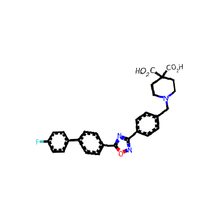 O=C(O)C1(C(=O)O)CCN(Cc2ccc(-c3noc(-c4ccc(-c5ccc(F)cc5)cc4)n3)cc2)CC1